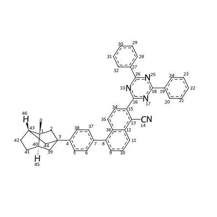 C[C@@]12CC3(c4ccc(-c5cccc6c(C#N)c(-c7nc(-c8ccccc8)nc(-c8ccccc8)n7)ccc56)cc4)C[C@H]1CC[C@H]2C3